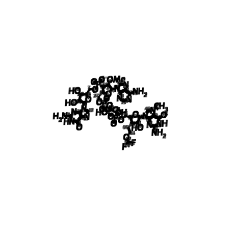 CO[C@@H]1[C@H](P(=O)([O-])OC[C@H]2O[C@@H](n3cnc4c(=O)[nH]c(N)nc43)[C@H](O)[C@@H]2O)[C@@H](COP(=O)(O)OP(=O)(O)OP(=O)(O)OC[C@H]2O[C@@H](n3c[n+](C)c4c(=O)[nH]c(N)nc43)[C@H](O)[C@@H]2CCOC(F)F)O[C@H]1n1cnc2c(N)ncnc21